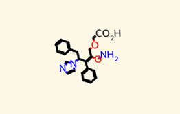 NOC(COCC(=O)O)=C(c1ccccc1)C(Cc1ccccc1)n1ccnc1